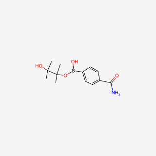 CC(C)(O)C(C)(C)OB(O)c1ccc(C(N)=O)cc1